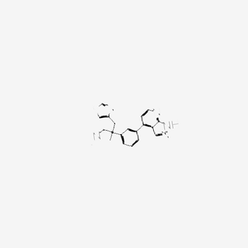 CC(CN)(Cc1cscn1)c1cccc(-c2ccnc3[nH]ncc23)c1